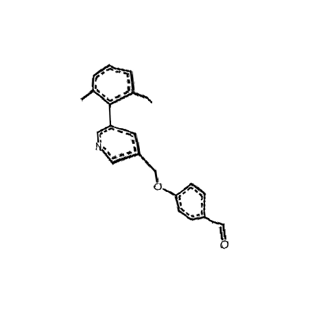 Cc1cccc(C)c1-c1cncc(COc2ccc(C=O)cc2)c1